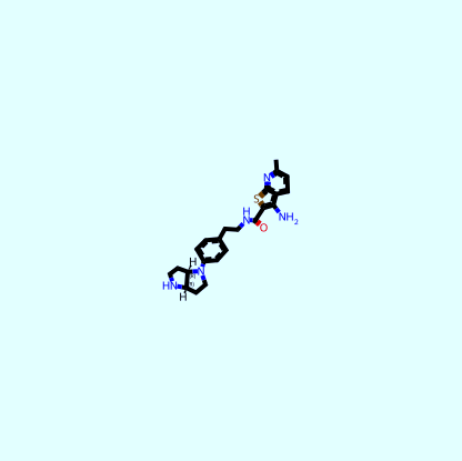 Cc1ccc2c(N)c(C(=O)NCCc3ccc(N4CC[C@H]5NCC[C@H]54)cc3)sc2n1